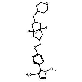 Cc1cnn(C)c1-c1ccc(OCC2C[C@@H]3CN(CC4CCOCC4)C[C@@H]3C2)nn1